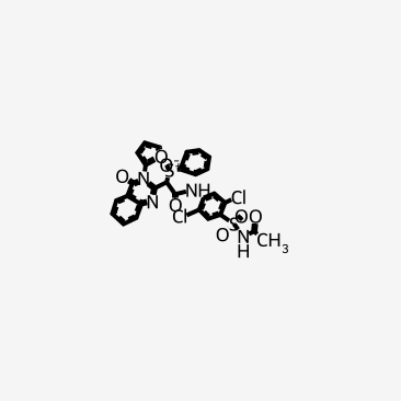 CC(=O)NS(=O)(=O)c1cc(Cl)c(NC(=O)C(c2nc3ccccc3c(=O)n2-c2ccco2)[S+]([O-])c2ccccc2)cc1Cl